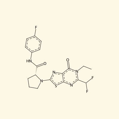 CCn1c(C(F)F)nc2sc(N3CCC[C@@H]3C(=O)Nc3ccc(F)cc3)nc2c1=O